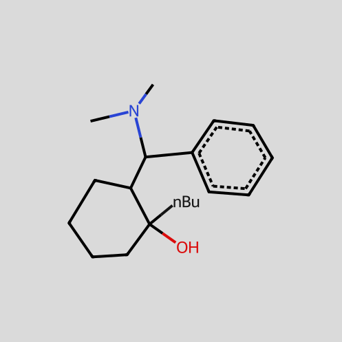 CCCCC1(O)CCCCC1C(c1ccccc1)N(C)C